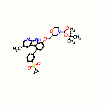 Cc1cnc2[nH]c3c(OC[C@@H]4CN(C(=O)OC(C)(C)C)CCO4)ccc(-c4cccc(S(=O)(=O)C5CC5)c4)c3c2c1